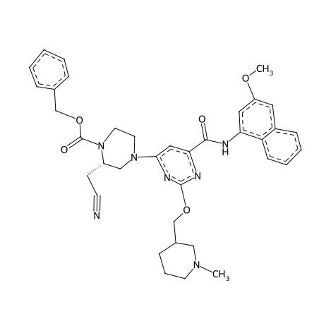 COc1cc(NC(=O)c2cc(N3CCN(C(=O)OCc4ccccc4)[C@@H](CC#N)C3)nc(OCC3CCCN(C)C3)n2)c2ccccc2c1